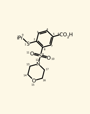 CC(C)Sc1ccc(C(=O)O)cc1S(=O)(=O)N1CCOCC1